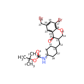 CC(C)(C)OC(=O)NC1CCC(C[C@@H]2COc3c(Br)cc(CBr)cc3C2=O)CC1